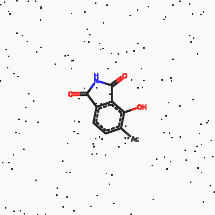 CC(=O)c1ccc2c(c1O)C(=O)NC2=O